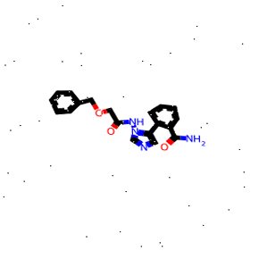 NC(=O)c1ccccc1-c1cncn1NC(=O)COCc1ccccc1